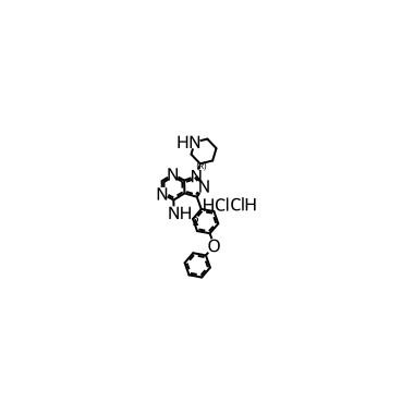 Cl.Cl.Nc1ncnc2c1c(-c1ccc(Oc3ccccc3)cc1)nn2[C@@H]1CCCNC1